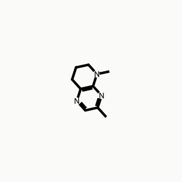 Cc1cnc2c(n1)N(C)CCC2